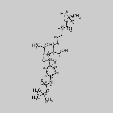 CC(C)CN(C(CO)CCCCNC(=O)OC(C)(C)C)S(=O)(=O)c1ccc(NC(=O)OC(C)(C)C)cc1